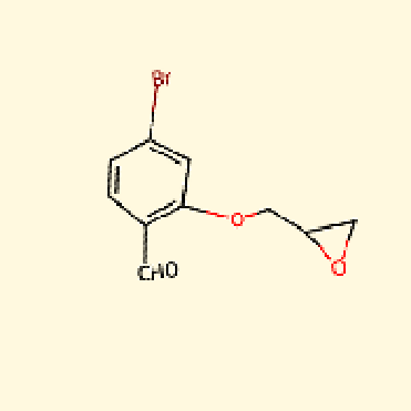 O=Cc1ccc(Br)cc1OCC1CO1